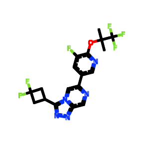 CC(C)(Oc1ncc(-c2cn3c(C4CC(F)(F)C4)nnc3cn2)cc1F)C(F)(F)F